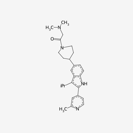 Cc1cc(-c2[nH]c3ccc(C4CCN(C(=O)CN(C)C)CC4)cc3c2C(C)C)ccn1